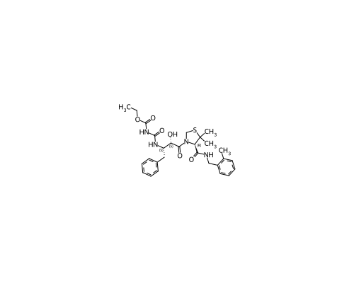 CCOC(=O)NC(=O)N[C@@H](Cc1ccccc1)[C@H](O)C(=O)N1CSC(C)(C)[C@H]1C(=O)NCc1ccccc1C